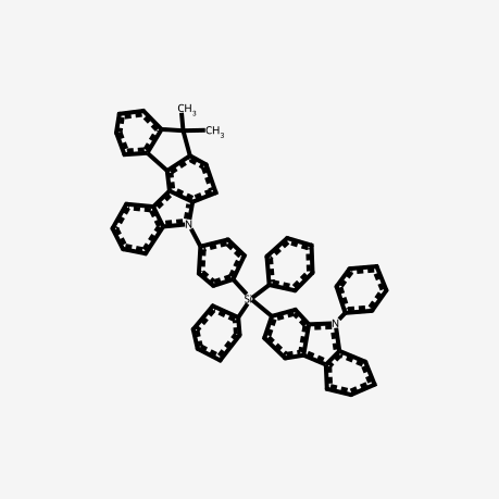 CC1(C)c2ccccc2-c2c1ccc1c2c2ccccc2n1-c1ccc([Si](c2ccccc2)(c2ccccc2)c2ccc3c4ccccc4n(-c4ccccc4)c3c2)cc1